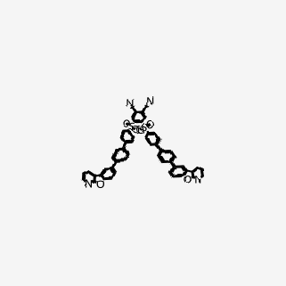 N#Cc1cc(S(=O)(=O)c2ccc(-c3ccc(-c4ccc5oc6ncccc6c5c4)cc3)cc2)c(S(=O)(=O)c2ccc(-c3ccc(-c4ccc5oc6ncccc6c5c4)cc3)cc2)cc1C#N